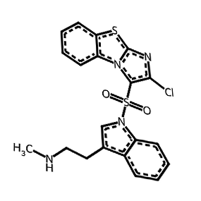 CNCCc1cn(S(=O)(=O)c2c(Cl)nc3sc4ccccc4n23)c2ccccc12